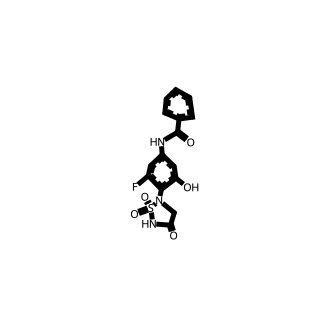 O=C1CN(c2c(O)cc(NC(=O)c3ccccc3)cc2F)S(=O)(=O)N1